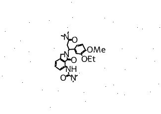 CCOc1cc(C(CC(=O)N(C)C)N2Cc3cccc(NC(=O)N(C)C)c3C2=O)ccc1OC